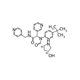 CC(C)(C)c1ccc(N(C(=O)[C@H]2C[C@@H](O)CN2)C(C(=O)NCc2ccncc2)c2cccnc2)cc1